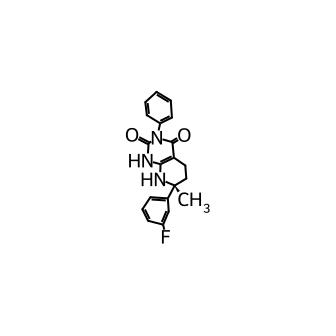 C[C@]1(c2cccc(F)c2)CCc2c([nH]c(=O)n(-c3ccccc3)c2=O)N1